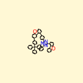 c1ccc(-c2nc(-c3ccc(-c4cccc5oc6ccc(-c7ccc(C(c8ccccc8)(c8ccccc8)c8ccccc8)cc7)cc6c45)cc3)nc(-c3cccc4oc5ccccc5c34)n2)cc1